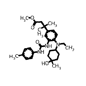 CCN(c1ccc(C(C)(C)CC(=O)OC)cc1NC(=O)Nc1ccc(C)cc1)C1CCC(C)(O)CC1